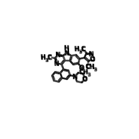 COc1cc2c(cc1-c1c(C)noc1C)[nH]c1nc(C)nc(-c3cc(N4CCOCC4)cc4ccccc34)c12